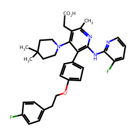 Cc1nc(Nc2ncccc2F)c(-c2ccc(OCCc3ccc(F)cc3)cc2)c(N2CCC(C)(C)CC2)c1CC(=O)O